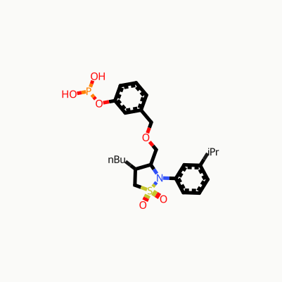 CCCCC1CS(=O)(=O)N(c2cccc(C(C)C)c2)C1COCc1cccc(OP(O)O)c1